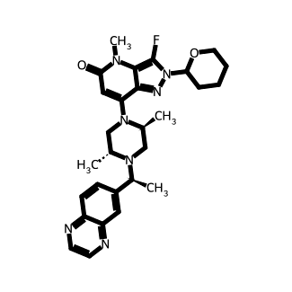 C[C@@H]1CN(c2cc(=O)n(C)c3c(F)n(C4CCCCO4)nc23)[C@@H](C)CN1[C@@H](C)c1ccc2nccnc2c1